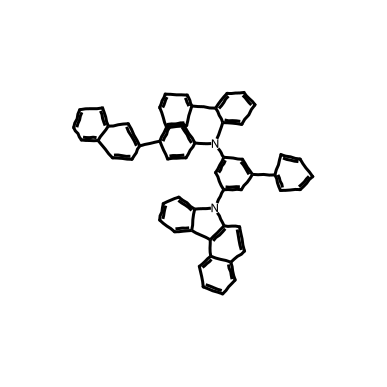 c1ccc(-c2cc(N(c3ccc(-c4ccc5ccccc5c4)cc3)c3ccccc3-c3ccccc3)cc(-n3c4ccccc4c4c5ccccc5ccc43)c2)cc1